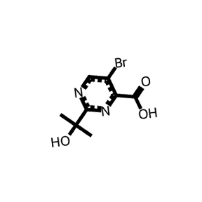 CC(C)(O)c1ncc(Br)c(C(=O)O)n1